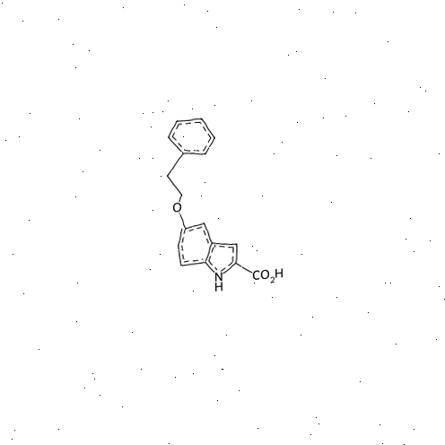 O=C(O)c1cc2cc(OCCc3ccccc3)ccc2[nH]1